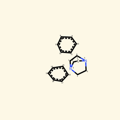 C1CN2CCN1CC2.c1ccccc1.c1ccccc1